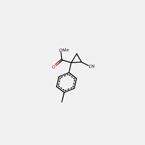 COC(=O)C1(c2ccc(C)cc2)CC1C#N